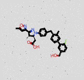 Cc1cc(C2=NN(c3ccc(Cc4ccc(-c5cc(CO)ccc5F)cc4C)cc3)[C@@H](CC(=O)O)[C@@H]2C)no1